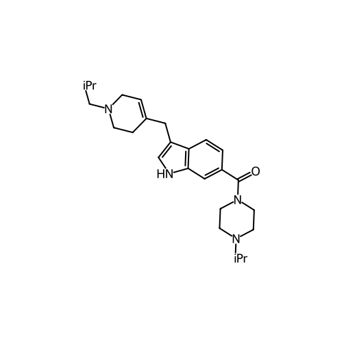 CC(C)CN1CC=C(Cc2c[nH]c3cc(C(=O)N4CCN(C(C)C)CC4)ccc23)CC1